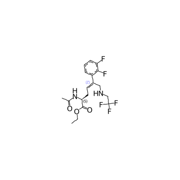 CCOC(=O)[C@H](C/C=C(\CNCC(F)(F)F)c1cccc(F)c1F)NC(C)=O